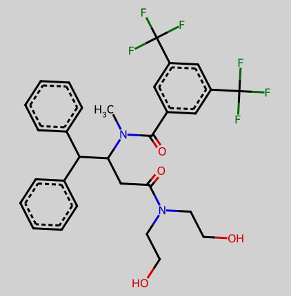 CN(C(=O)c1cc(C(F)(F)F)cc(C(F)(F)F)c1)C(CC(=O)N(CCO)CCO)C(c1ccccc1)c1ccccc1